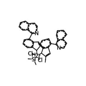 CC1=Cc2c(-c3nccc4ccccc34)cccc2[CH]1[Zr]([Cl])([Cl])([CH]1C(C)=Cc2c(-c3nccc4ccccc34)cccc21)[SiH](C)C